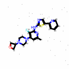 Cc1cc(N2CCN(C3COC3)CC2)c(F)c(Nc2ncc(-c3ccccn3)s2)n1